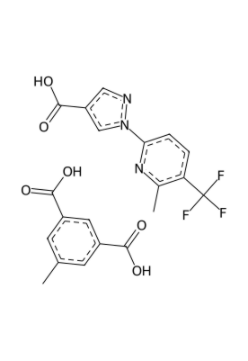 Cc1cc(C(=O)O)cc(C(=O)O)c1.Cc1nc(-n2cc(C(=O)O)cn2)ccc1C(F)(F)F